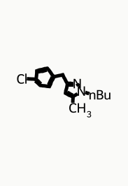 CCCCn1nc(Cc2ccc(Cl)cc2)cc1C